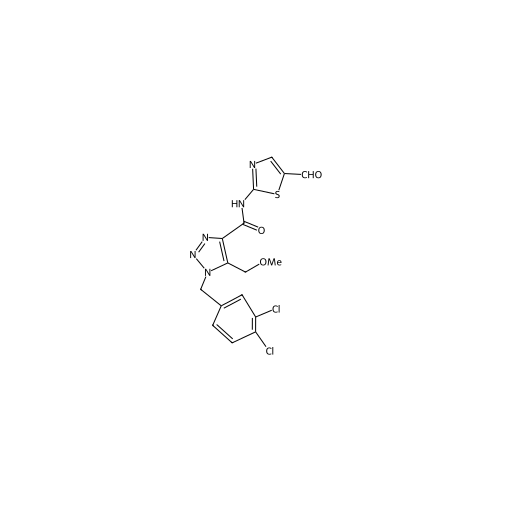 COCc1c(C(=O)Nc2ncc(C=O)s2)nnn1Cc1ccc(Cl)c(Cl)c1